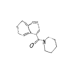 O=C(c1cccc2ccccc12)N1CCCCC1